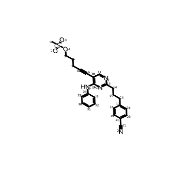 CS(=O)(=O)OCCCC#Cc1cnc(CCCc2ccc(C#N)cc2)nc1Nc1ccccc1